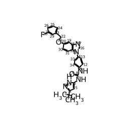 CC(C)(C)c1cc(NC(=O)Nc2ccc(-n3cnc4cc(OCc5cccc(F)c5)ccc43)cc2)[nH]n1